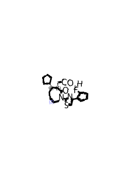 O=C(O)C[C@@H]1C(=O)N(c2nc(-c3ccccc3F)cs2)C/C=C\C[C@@H]1C1CCCC1